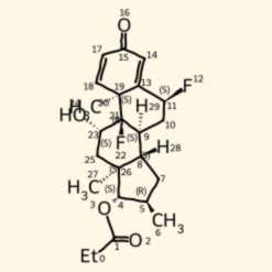 CCC(=O)O[C@H]1[C@H](C)C[C@H]2[C@@H]3C[C@H](F)C4=CC(=O)C=C[C@]4(C)[C@@]3(F)[C@@H](O)C[C@@]21C